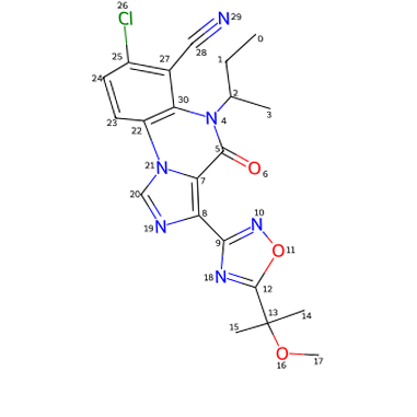 CCC(C)n1c(=O)c2c(-c3noc(C(C)(C)OC)n3)ncn2c2ccc(Cl)c(C#N)c21